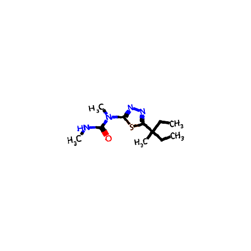 CCC(C)(CC)c1nnc(N(C)C(=O)NC)s1